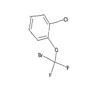 FC(F)(Br)Oc1cc[c]cc1Cl